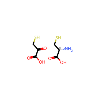 N[C@@H](CS)C(=O)O.O=C(O)C(=O)CS